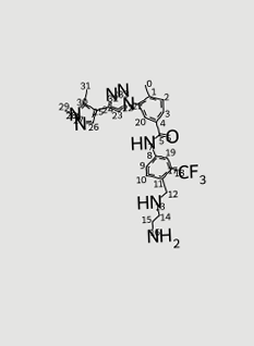 Cc1ccc(C(=O)Nc2ccc(CNCCN)c(C(F)(F)F)c2)cc1-n1cc(-c2cnn(C)c2C)nn1